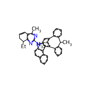 CCC1CC=Cc2c(C)nc(-n3c4cc5c(C)c(c4c4c6ccccc6ccc43)-c3ccccc3C(C)c3ccccc3-5)nc21